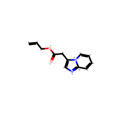 C=CCOC(=O)Cc1cnc2ccccn12